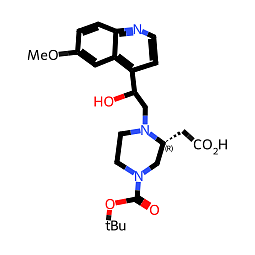 COc1ccc2nccc(C(O)CN3CCN(C(=O)OC(C)(C)C)C[C@H]3CC(=O)O)c2c1